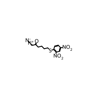 [N-]=[N+]=CC(=O)CCCCSc1ccc([N+](=O)[O-])cc1[N+](=O)[O-]